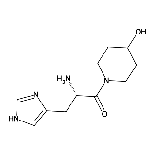 N[C@@H](Cc1c[nH]cn1)C(=O)N1CCC(O)CC1